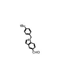 CC(C)(C)c1ccc(Cn2ccc3cc(C=O)ccc32)cc1